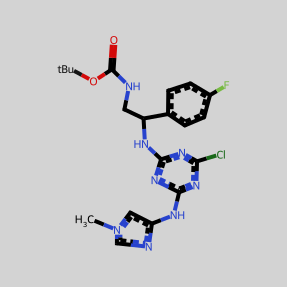 Cn1cnc(Nc2nc(Cl)nc(NC(CNC(=O)OC(C)(C)C)c3ccc(F)cc3)n2)c1